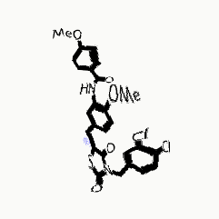 COc1ccc(C(=O)Nc2cc(/C=C3/SC(=O)N(Cc4ccc(Cl)c(Cl)c4)C3=O)ccc2OC)cc1